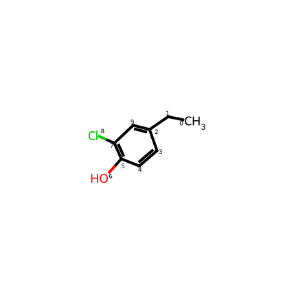 CCc1ccc(O)c(Cl)c1